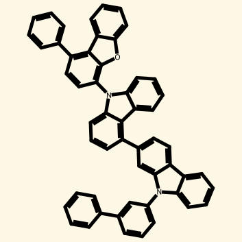 c1ccc(-c2cccc(-n3c4ccccc4c4ccc(-c5cccc6c5c5ccccc5n6-c5ccc(-c6ccccc6)c6c5oc5ccccc56)cc43)c2)cc1